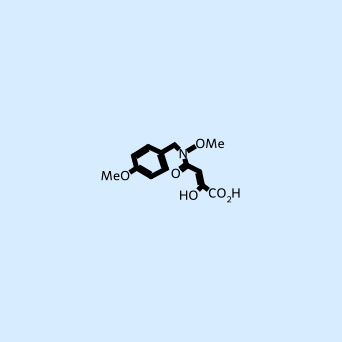 COc1ccc(CN(OC)C(=O)C=C(O)C(=O)O)cc1